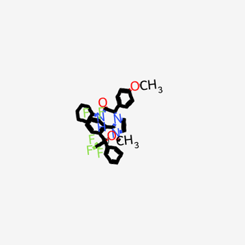 COc1ccc(C(C(=O)NC2CCCCC2)n2ccnc2-c2c([C@](OC)(c3ccccc3)C(F)(F)F)ccc(F)c2F)cc1